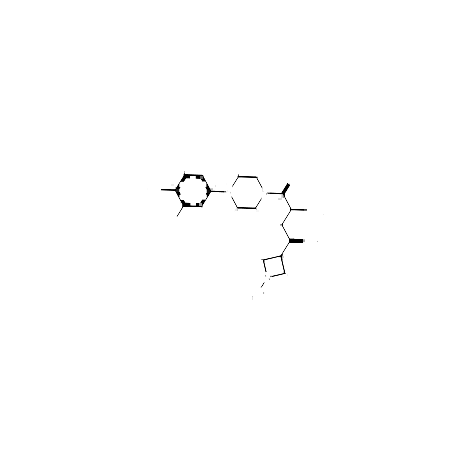 CC(CC(=O)C1CN(C)C1)C(=O)N1CCN(c2ccc(F)c(F)c2)CC1